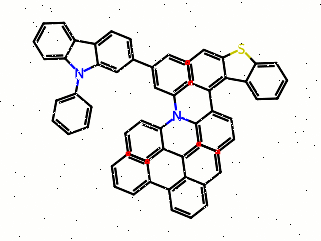 c1ccc(-c2cccc3cccc(-c4ccccc4N(c4cccc(-c5ccc6c7ccccc7n(-c7ccccc7)c6c5)c4)c4ccccc4-c4cccc5sc6ccccc6c45)c23)cc1